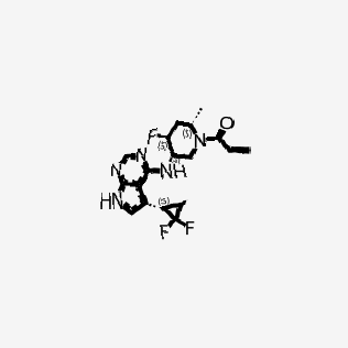 C=CC(=O)N1C[C@H](Nc2ncnc3[nH]cc([C@@H]4CC4(F)F)c23)[C@@H](F)C[C@@H]1C